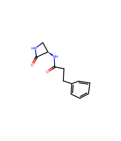 O=C(CCc1ccccc1)N[C@@H]1CNC1=O